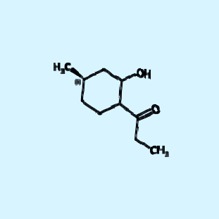 CCC(=O)C1CC[C@@H](C)CC1O